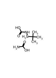 CC(C)(C)[SiH2]NC(=O)O.NC(=O)O